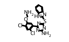 NCOc1cc(-c2nc(N)nc(Sc3nc4ccccc4[nH]3)n2)c(Cl)cc1Cl